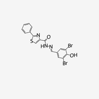 O=C(NN=Cc1cc(Br)c(O)c(Br)c1)c1csc(-c2ccccc2)n1